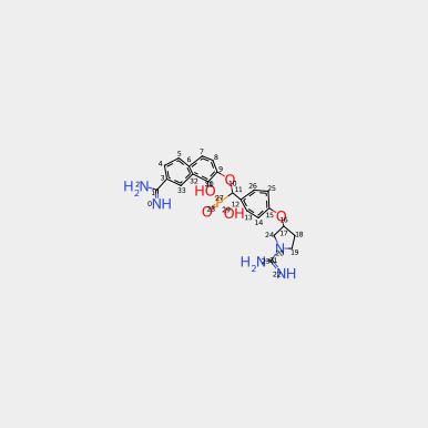 N=C(N)c1ccc2ccc(OC(c3ccc(OC4CCN(C(=N)N)C4)cc3)P(=O)(O)O)cc2c1